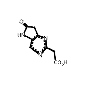 O=C(O)Cc1ncc2c(n1)CC(=O)N2